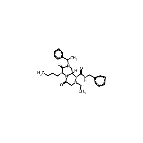 CCCC[C@H]1C(=O)N([C@H](C)c2ccccc2)C[C@H]2N1C(=O)CN(CC)N2C(=O)NCc1ccccc1